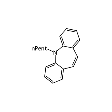 CCCCCN1c2ccccc2C=Cc2ccccc21